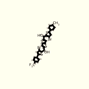 Cc1ccc(-c2cc(Br)c(C(O)c3cc4sc(C(O)c5sc(-c6ccc(C(F)(F)F)cc6)cc5Br)cc4s3)s2)cc1